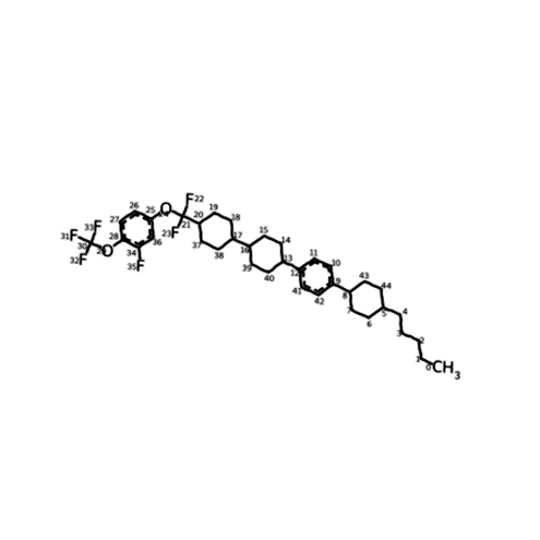 CCCCCC1CCC(c2ccc(C3CCC(C4CCC(C(F)(F)Oc5ccc(OC(F)(F)F)c(F)c5)CC4)CC3)cc2)CC1